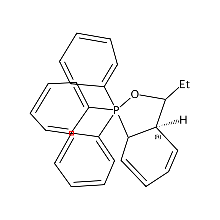 CCC1OP(c2ccccc2)(c2ccccc2)(c2ccccc2)C2C=CC=C[C@H]12